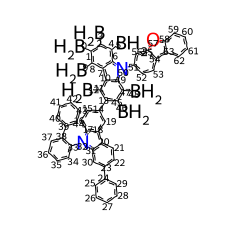 Bc1c(B)c(B)c2c(c1B)c1c(B)c(-c3ccc4c(c3)c3ccc(-c5ccccc5)cc3n4-c3ccccc3-c3ccccc3)c(B)c(B)c1n2-c1ccc2c(c1)oc1ccccc12